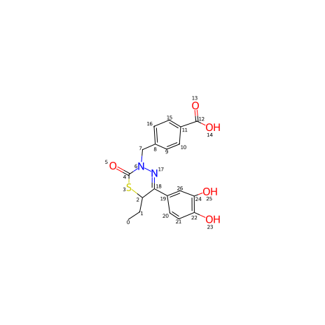 CCC1SC(=O)N(Cc2ccc(C(=O)O)cc2)N=C1c1ccc(O)c(O)c1